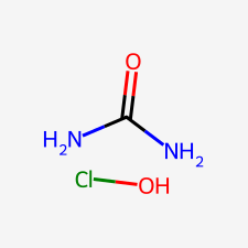 NC(N)=O.OCl